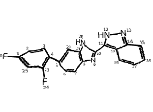 Fc1ccc(-c2ccc3nc(-c4[nH]nc5ccccc45)[nH]c3c2)c(F)c1